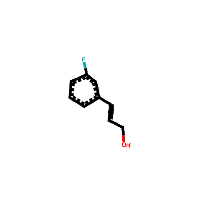 OCC=Cc1cccc(F)c1